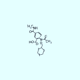 CNC(=O)c1ccc(N(OCC2[I]C[I]C[I]2)C(C)=O)c(C(=O)O)c1